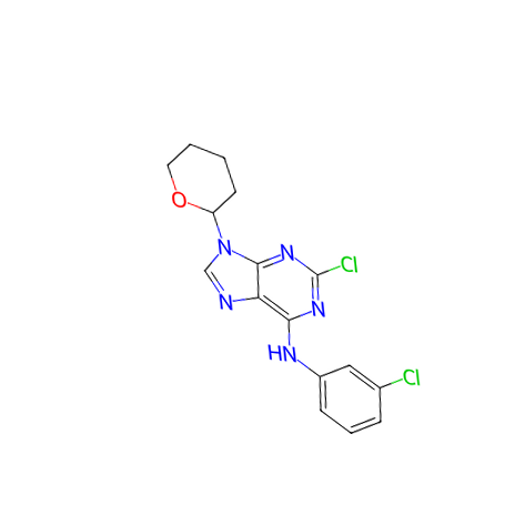 Clc1cccc(Nc2nc(Cl)nc3c2ncn3C2CCCCO2)c1